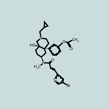 CC(=O)Oc1cccc([C@@]23CCN(CC4CC4)C[C@@]2(O)CC[C@H](N(C)C(=O)/C=C/c2cc(Br)cs2)C3)c1